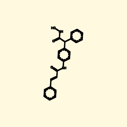 O=C(C=Cc1ccccc1)Nc1ccc(C(C(=O)NO)c2ccccc2)cc1